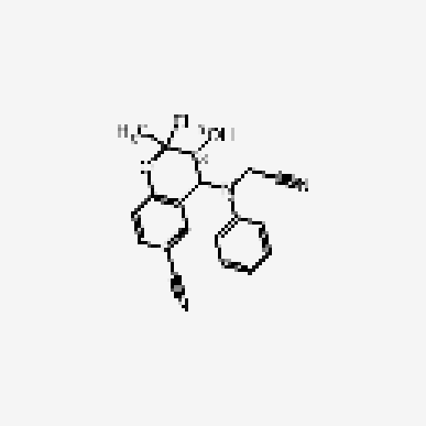 CC1(C)Oc2ccc(C#N)cc2C(N(CC#N)c2ccccc2)[C@H]1O